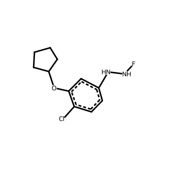 FNNc1ccc(Cl)c(OC2CCCC2)c1